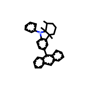 CC1CCCC2(C)c3cc(-c4c5ccccc5cc5ccccc45)ccc3N(c3ccccc3)C12C